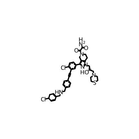 NC(=O)C(=O)N1CCc2c(c(-c3ccc(Cl)c(C#Cc4ccc(CNCC5=CCC(Cl)C=C5)cc4)c3)nn2C[C@H](O)CN2CCSCC2)C1